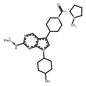 CCC[C@H](C)Nc1ncc2c(C3CCN(C(=O)[C@@H]4CCCN4C)CC3)cn(C3CCC(O)CC3)c2n1